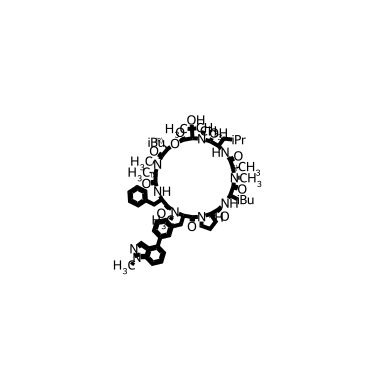 CCC(C)C1NC(=O)[C@@H]2CCCN2C(=O)C(Cc2cccc(-c3cccc4c3cnn4C)c2)N(C)C(=O)C(Cc2ccccc2)NC(=O)[C@H](C)N(C)C(=O)C([C@H](C)CC)OC(=O)C(C(C)(C)O)N(C)C(O)C(CC(C)C)NC(=O)[C@H](C)N(C)C1=O